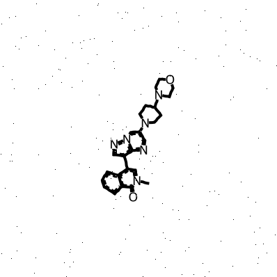 Cn1cc(-c2cnn3cc(N4CCC(N5CCOCC5)CC4)cnc23)c2ccccc2c1=O